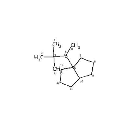 CB(C(C)(C)C)C12CCCC1CCC2